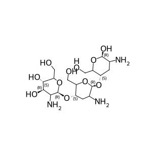 NC1C[C@H](O[C@@H]2OC(CO)[C@@H](O)[C@H](O)C2N)C(CO)O[C@H]1O[C@H]1CC(N)[C@H](O)OC1CO